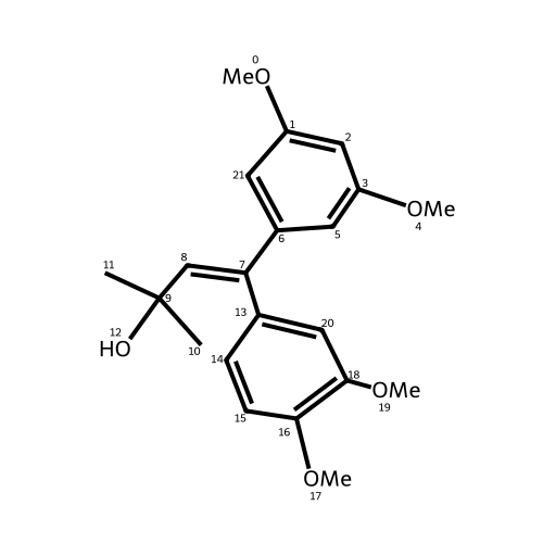 COc1cc(OC)cc(C(=CC(C)(C)O)c2ccc(OC)c(OC)c2)c1